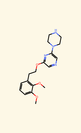 COc1cccc(CCOc2cncc(N3CCNCC3)n2)c1OC